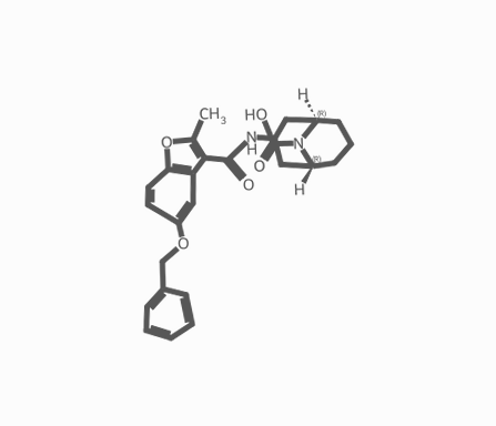 Cc1oc2ccc(OCc3ccccc3)cc2c1C(=O)NC1C[C@H]2CCC[C@H](C1)N2C(=O)O